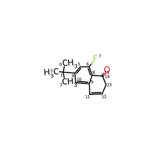 CC(C)(C)c1cc(F)c2c(c1)C=CCC2=O